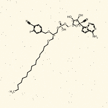 CCCCCCCCCCCCCCCCOC[C@H](COP(=O)(O)OC[C@H]1O[C@@](C#N)(c2ccc3c(N)ncnn23)[C@H](O)[C@@H]1O)OCc1ccc(C#N)c(F)c1